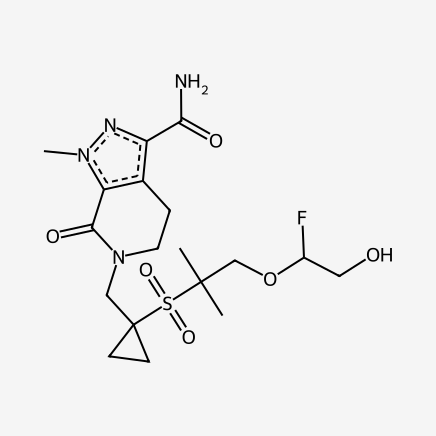 Cn1nc(C(N)=O)c2c1C(=O)N(CC1(S(=O)(=O)C(C)(C)COC(F)CO)CC1)CC2